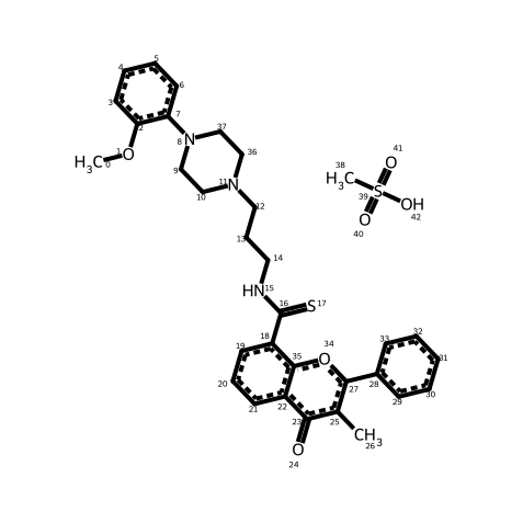 COc1ccccc1N1CCN(CCCNC(=S)c2cccc3c(=O)c(C)c(-c4ccccc4)oc23)CC1.CS(=O)(=O)O